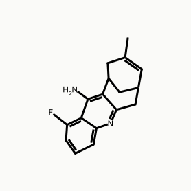 CC1=CC2Cc3nc4cccc(F)c4c(N)c3C(C1)C2